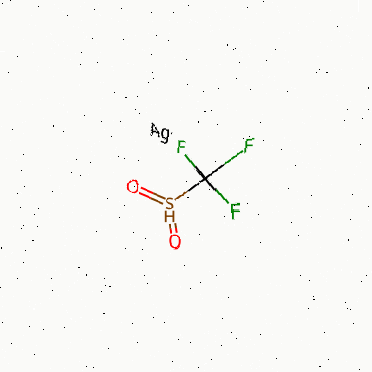 O=[SH](=O)C(F)(F)F.[Ag]